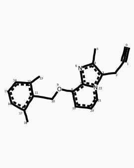 C#CCc1c(C)nc2c(OCc3c(C)cccc3C)cccn12